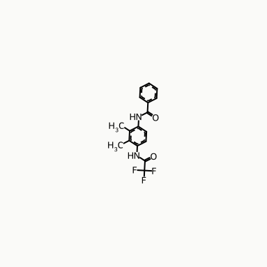 Cc1c(NC(=O)c2ccccc2)ccc(NC(=O)C(F)(F)F)c1C